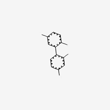 Fc1[c]cc(F)c(-c2ccc(Cl)cc2F)c1